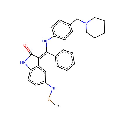 CCSNc1ccc2c(c1)/C(=C(/Nc1ccc(CN3CCCCC3)cc1)c1ccccc1)C(=O)N2